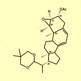 CC(=O)O[C@@H]1CC2=CC=C3C4CC[C@H](C(C)C5OCC(C)(C)CO5)[C@@]4(C)CCC3[C@@]2(C)[C@H]2O[C@@H]12